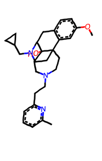 COc1ccc2c(c1)C13CCN(CCc4cccc(C)n4)CCC1(O)C(C2)N(CC1CC1)CC3